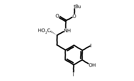 CC(C)(C)OC(=O)N[C@H](Cc1cc(I)c(O)c(I)c1)C(=O)O